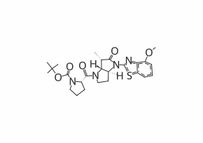 COc1cccc2sc(N3C(=O)[C@@H](C)[C@@H]4[C@@H]3CCN4C(=O)[C@@H]3CCCN3C(=O)OC(C)(C)C)nc12